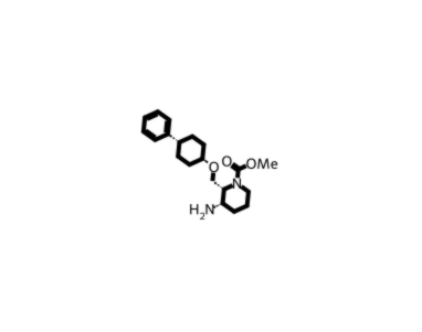 COC(=O)N1CCC[C@H](N)[C@@H]1CO[C@H]1CC[C@@H](c2ccccc2)CC1